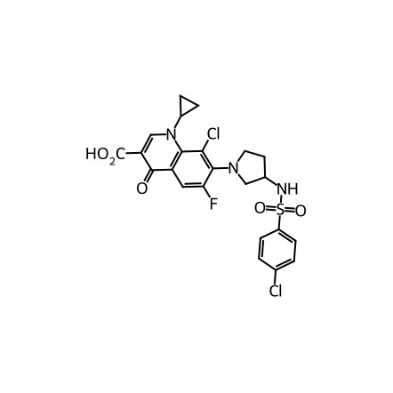 O=C(O)c1cn(C2CC2)c2c(Cl)c(N3CCC(NS(=O)(=O)c4ccc(Cl)cc4)C3)c(F)cc2c1=O